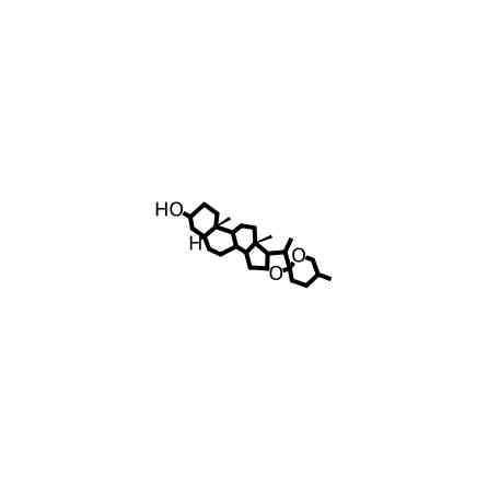 CC1CCC2(OC1)OC1CC3C4CC[C@H]5CC(O)CC[C@]5(C)C4CC[C@]3(C)C1C2C